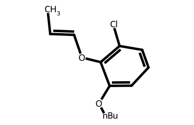 CC=COc1c(Cl)cccc1OCCCC